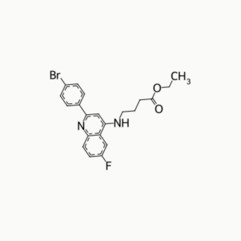 CCOC(=O)CCCNc1cc(-c2ccc(Br)cc2)nc2ccc(F)cc12